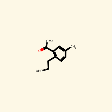 COC(=O)c1cc(C)ccc1CCC=O